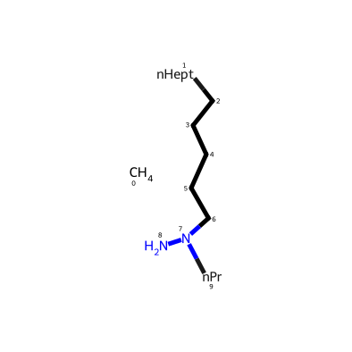 C.CCCCCCCCCCCCN(N)CCC